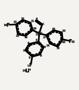 C=C[B-](c1ccc(F)cc1)(c1ccc(F)cc1)c1ccc(F)cc1.[Li+]